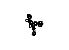 CC1(C)CCN(C2CC(N3C(=O)C4(CCN(C(=O)C5CCCOC5)CC4)c4ccc(B5OC(C)(C)C(C)(C)O5)cc43)C2)C1